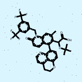 Cc1cc2c(ccc(=O)n2Cc2cc(C(F)(F)F)cc(C(F)(F)F)c2)c(-c2ccc3c4c(ccnc24)CCO3)c1C(OC(C)(C)C)C(=O)O